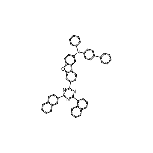 c1ccc(-c2ccc(N(c3ccccc3)c3ccc4oc5cc(-c6nc(-c7ccc8ccccc8c7)nc(-c7cccc8ccccc78)n6)ccc5c4c3)cc2)cc1